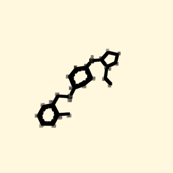 CCN1CCCC1Oc1ccc(OCc2ccccc2C)cc1